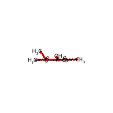 CCCCCCCCCOC(=O)OCCCCN(CCO)CCCCCCCC(=O)OC(CCCCCCCC)CCCCCCCC